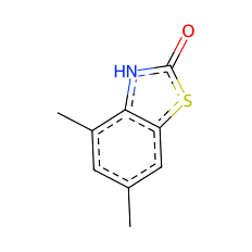 Cc1cc(C)c2[nH]c(=O)sc2c1